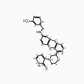 Cc1ccnc(CNc2ccc3c(c2)Cc2ccnc(C4CN(c5ccc[nH]c5=O)CCO4)c2O3)c1